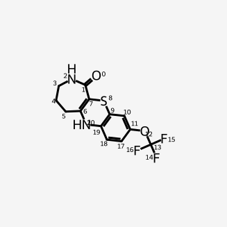 O=C1NCCCC2=C1Sc1cc(OC(F)(F)F)ccc1N2